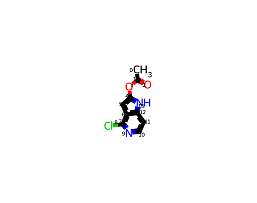 CC(=O)Oc1cc2c(Cl)nccc2[nH]1